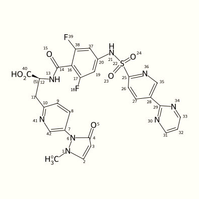 Cn1ccc(=O)n1-c1ccc(C[C@H](NC(=O)c2c(F)cc(NS(=O)(=O)c3ccc(-c4ncccn4)cn3)cc2F)C(=O)O)nc1